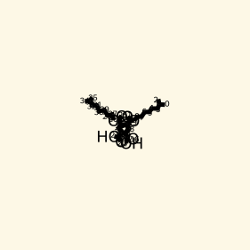 CC(C)CCCCCCOC(=O)c1cc(C(=O)O)c(C(=O)O)cc1C(=O)OCCCCCCC(C)C